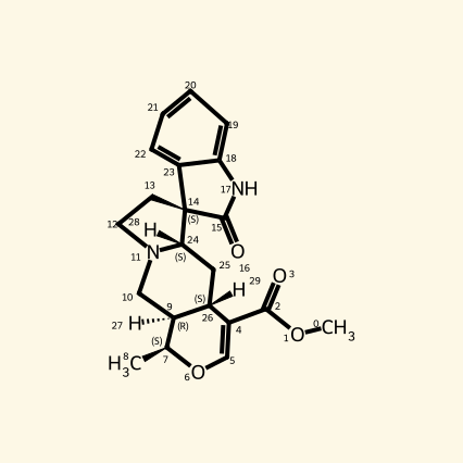 COC(=O)C1=CO[C@@H](C)[C@H]2CN3CC[C@@]4(C(=O)Nc5ccccc54)[C@@H]3C[C@H]12